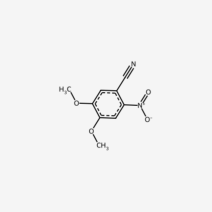 COc1cc(C#N)c([N+](=O)[O-])cc1OC